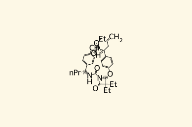 C=CCC(c1ccc(O[C@@H]2N(C(=O)N[C@H](CCC)c3ccc(C)cc3)C(=O)C2(CC)CC)cc1)[PH](=O)OCC